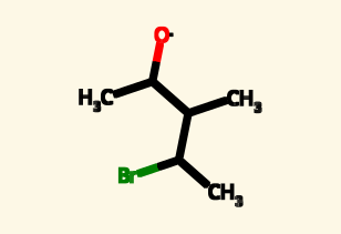 CC([O])C(C)C(C)Br